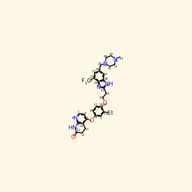 CCc1cc(Oc2ccnc3c2CCC(=O)N3)ccc1OCCc1nc2c(C(F)(F)F)cc(CN3CCN(C)CC3)cc2[nH]1